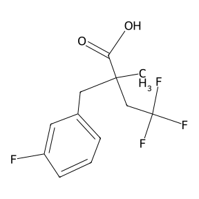 CC(Cc1cccc(F)c1)(CC(F)(F)F)C(=O)O